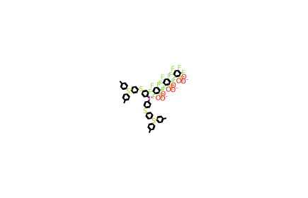 Cc1ccc([S+](c2ccc(C)cc2)c2ccc(Sc3ccc([I+]c4ccc(Sc5ccc([S+](c6ccc(C)cc6)c6ccc(C)cc6)cc5)cc4)cc3)cc2)cc1.O=S(=O)([O-])c1c(F)c(F)c(F)c(F)c1F.O=S(=O)([O-])c1c(F)c(F)c(F)c(F)c1F.O=S(=O)([O-])c1c(F)c(F)c(F)c(F)c1F